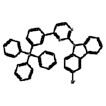 Brc1ccc2c(c1)c1ccccc1n2-c1nccc(-c2cccc([Si](c3ccccc3)(c3ccccc3)c3ccccc3)c2)n1